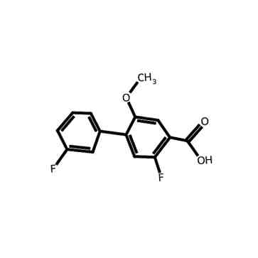 COc1cc(C(=O)O)c(F)cc1-c1cccc(F)c1